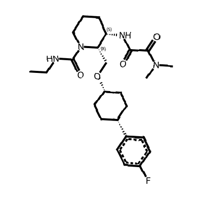 CCNC(=O)N1CCC[C@H](NC(=O)C(=O)N(C)C)[C@@H]1CO[C@H]1CC[C@@H](c2ccc(F)cc2)CC1